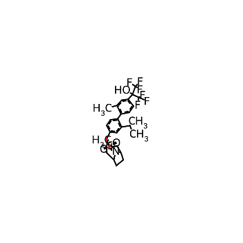 Cc1cc(C(O)(C(F)(F)F)C(F)(F)F)ccc1-c1ccc(CN2CC3CCC(C2)N3S(C)(=O)=O)cc1C(C)C